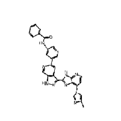 Cc1cn(-c2ccnc3[nH]c(-c4n[nH]c5cnc(-c6cncc(NC(=O)c7ccccc7)c6)cc45)nc23)cn1